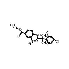 CCOC(=O)c1ccc(NCC(C)(C)c2ccc(Cl)cc2Cl)c([N+](=O)[O-])c1